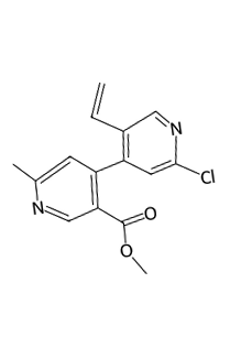 C=Cc1cnc(Cl)cc1-c1cc(C)ncc1C(=O)OC